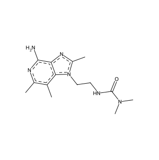 Cc1nc(N)c2nc(C)n(CCNC(=O)N(C)C)c2c1C